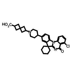 O=C(O)C1CC2(C1)CC(N1CCC(c3ccc4c(c3)C3(CCCCC3)c3nc(=O)c5c(Cl)cccc5n3-4)CC1)C2